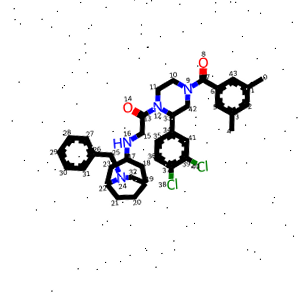 Cc1cc(C)cc(C(=O)N2CCN(C(=O)CNC3CC4CCC(C3)N(Cc3ccccc3)C4)C(c3ccc(Cl)c(Cl)c3)C2)c1